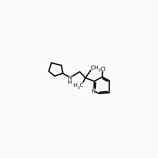 CC(C)(CNC1CCCC1)c1ncccc1Cl